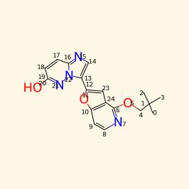 CC(C)(C)COc1nccc2oc(-c3cnc4ccc(O)nn34)cc12